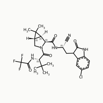 CC(C)(C)[C@H](NC(=O)C(F)(F)F)C(=O)N1C[C@H]2[C@H]([C@H]1C(=O)N[C@H](C#N)CC1C(=O)Nc3ccc(Cl)cc31)C2(C)C